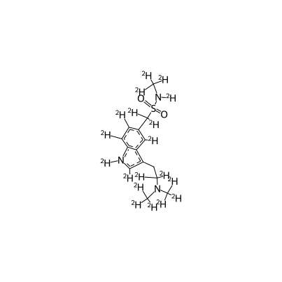 [2H]c1c(C([2H])([2H])S(=O)(=O)N([2H])C([2H])([2H])[2H])c([2H])c2c(CC([2H])([2H])N(C([2H])([2H])[2H])C([2H])([2H])[2H])c([2H])n([2H])c2c1[2H]